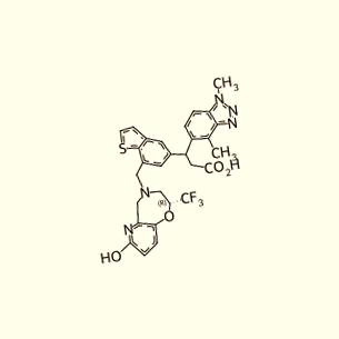 Cc1c(C(CC(=O)O)c2cc(CN3Cc4nc(O)ccc4O[C@@H](C(F)(F)F)C3)c3sccc3c2)ccc2c1nnn2C